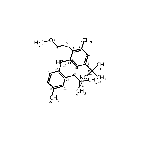 COCOc1c(C)cc(C(C)(C)C)cc1Pc1ccc(C)cc1CN(C)C